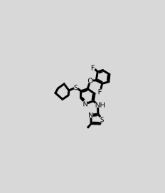 Cc1csc(Nc2cc(Oc3c(F)cccc3F)c(SC3CCCCC3)cn2)n1